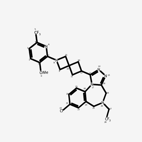 COc1ccc(C(F)(F)F)nc1N1CC2(CC(c3nnc4n3-c3ccc(Cl)cc3CN(CC(F)(F)F)C4)C2)C1